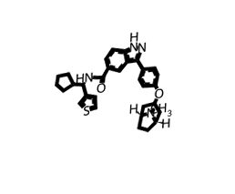 CN1[C@@H]2CC[C@H]1CC(Oc1ccc(-c3n[nH]c4ccc(C(=O)N[C@@H](c5ccsc5)C5CCCC5)cc34)cc1)C2